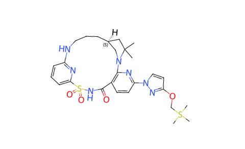 CC1(C)C[C@@H]2CCCNc3cccc(n3)S(=O)(=O)NC(=O)c3ccc(-n4ccc(OCS(C)(C)C)n4)nc3N1C2